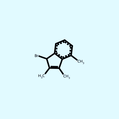 CC1=C(C)c2c(C)cccc2[C]1Br